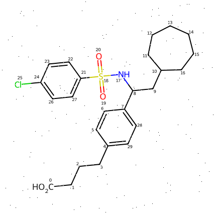 O=C(O)CCCc1ccc(C(CC2CCCCCC2)NS(=O)(=O)c2ccc(Cl)cc2)cc1